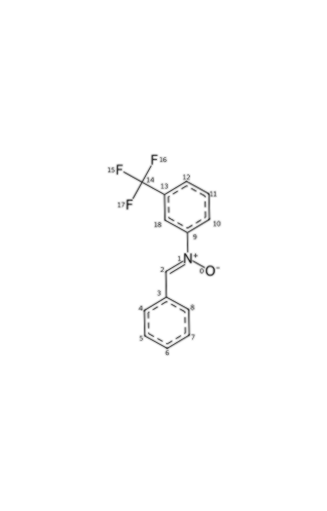 [O-][N+](=Cc1ccccc1)c1cccc(C(F)(F)F)c1